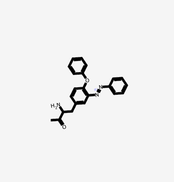 CC(=O)C(N)Cc1ccc(Oc2ccccc2)c(/N=N/c2ccccc2)c1